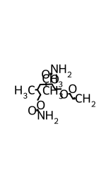 C=CC(=O)OCCC(OC(N)=O)C(C)(C)CC(C)CCOC(N)=O